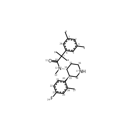 Cc1cc(C)cc(C(C)(C)C(=O)N(C)[C@@H]2CCNC[C@H]2c2ccc(F)cc2C)c1